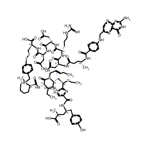 CC/C=C/CN(C(=O)[C@@H](NC(=O)[C@H]1CCCC[PH]1(C)Cc1ccc(SSC[C@H](NC(=O)[C@H](CC(=O)O)NC(=O)[C@H](CC(=O)O)NC(=O)[C@H](CCCNC(=N)N)NC(=O)[C@H](CC(=O)O)NC(=O)CC[C@@H](C)NC(=O)c2ccc(NCc3cnc4nc(N)[nH]c(=O)c4n3)cc2)C(=O)O)cc1)C(C)CC)[C@H](C[C@@H](OCC)c1nc(C(=O)N[C@@H](Cc2ccc(O)cc2)C[C@H](C)C(=O)O)cs1)C(C)C